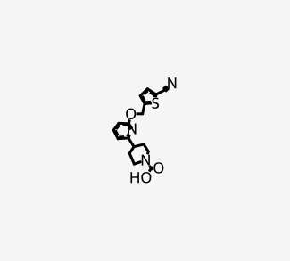 N#Cc1ccc(COc2cccc(C3CCN(C(=O)O)CC3)n2)s1